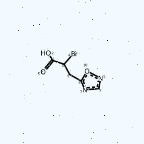 O=C(O)C(Br)Cc1ncno1